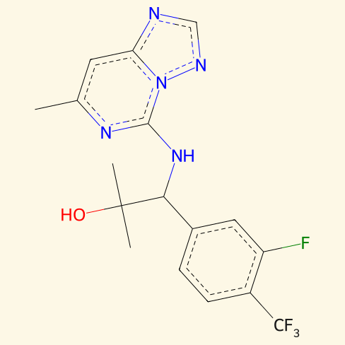 Cc1cc2ncnn2c(NC(c2ccc(C(F)(F)F)c(F)c2)C(C)(C)O)n1